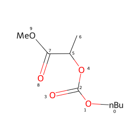 CCCCOC(=O)OC(C)C(=O)OC